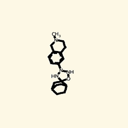 CN1CCc2cc(N3NOC4(CC5CCC4CC5)N3)ccc2C1